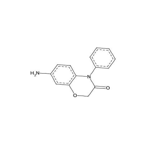 Nc1ccc2c(c1)OCC(=O)N2c1ccccc1